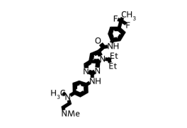 CCC(CC)n1c(C(=O)Nc2ccc(C(C)(F)F)cc2)cc2cnc(Nc3ccc(N(C)CCNC)cc3)nc21